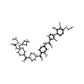 Cn1c(-c2ccc(OCF)c(F)c2Cl)cnc1C(=O)Nc1ccc(C(=O)N2CCN(C(=O)C3CC[N+](CC(=O)OC=O)(CC4CNC4)CC3)CC2)c(Cl)c1